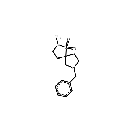 CN1CC[C@]2(CCN(Cc3ccccc3)C2)S1(=O)=O